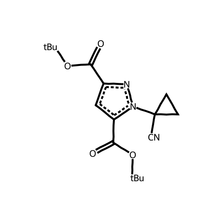 CC(C)(C)OC(=O)c1cc(C(=O)OC(C)(C)C)n(C2(C#N)CC2)n1